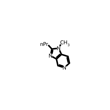 CCCc1nc2cnccc2n1C